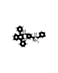 NC(NCc1ccccc1)c1ccc(Nc2c(-c3ccccc3)c3ccccc3c3c2oc2ccccc23)cc1